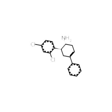 N[C@@H]1CC=C(c2ccccc2)C[C@H]1c1ccc(Cl)cc1Cl